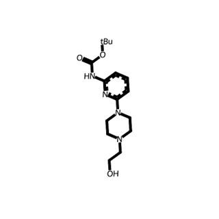 CC(C)(C)OC(=O)Nc1cccc(N2CCN(CCO)CC2)n1